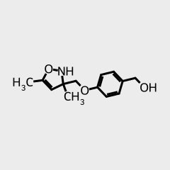 CC1=CC(C)(COc2ccc(CO)cc2)NO1